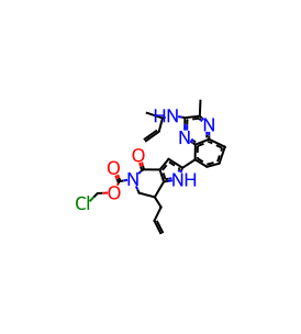 C=CCC1CN(C(=O)OCCl)C(=O)c2cc(-c3cccc4nc(C)c(NC(C)C=C)nc34)[nH]c21